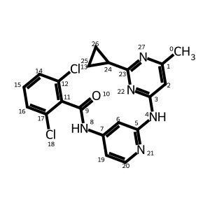 Cc1cc(Nc2cc(NC(=O)c3c(Cl)cccc3Cl)ccn2)nc(C2CC2)n1